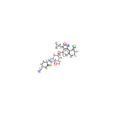 N#Cc1ccc2nc(C3(O)CCC(OCc4c(-c5c(Cl)cccc5Cl)noc4C4CC4)CC3)sc2c1